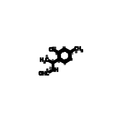 Cc1[c]cc(C(C)NC=O)c(Cl)c1